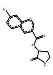 O=C(N[C@H]1CCNC1=O)c1cnc2cc(Br)ccc2c1